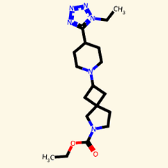 CCOC(=O)N1CCC2(CC(N3CCC(c4nnnn4CC)CC3)C2)C1